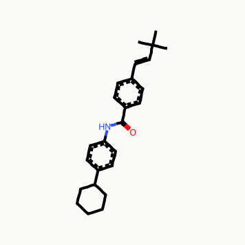 CC(C)(C)/C=C/c1ccc(C(=O)Nc2ccc(C3CCCCC3)cc2)cc1